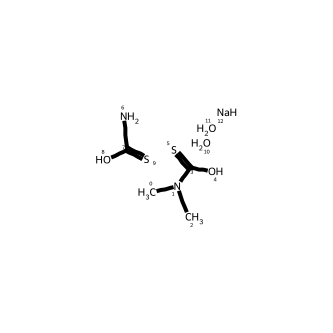 CN(C)C(O)=S.NC(O)=S.O.O.[NaH]